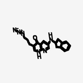 [N-]=[N+]=NCCCc1c[nH]c2ncc(NC3Cc4ccccc4C3)cc2c1=O